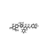 O=C(NCc1ccc2c(c1)OCO2)NC(c1ccccc1)c1nc(-c2ccc3[nH]c(=O)cc(O)c3c2)c(Cl)[nH]1